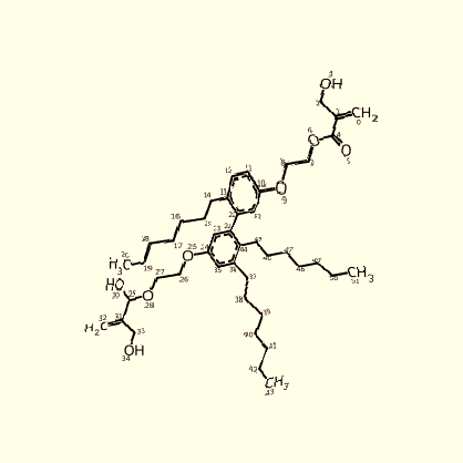 C=C(CO)C(=O)OCCOc1ccc(CCCCCCC)c(-c2cc(OCCOC(O)C(=C)CO)cc(CCCCCCC)c2CCCCCCC)c1